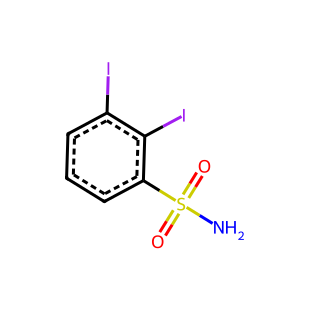 NS(=O)(=O)c1cccc(I)c1I